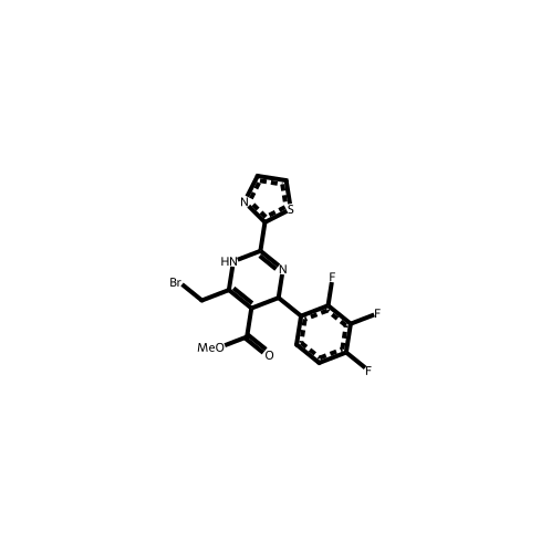 COC(=O)C1=C(CBr)NC(c2nccs2)=NC1c1ccc(F)c(F)c1F